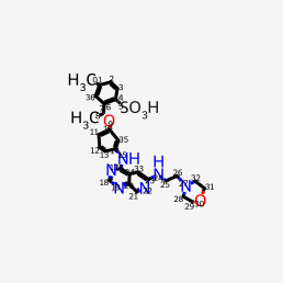 Cc1ccc(S(=O)(=O)O)c(C(C)Oc2cccc(Nc3ncnc4cnc(NCCN5CCOCC5)cc34)c2)c1